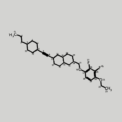 CCCC1CCC(C#CC2CCC3CC(COc4ccc(OCC)c(F)c4F)CCC3C2)CC1